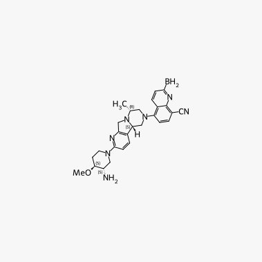 Bc1ccc2c(N3C[C@@H](C)N4Cc5nc(N6CC[C@H](OC)[C@@H](N)C6)ccc5[C@H]4C3)ccc(C#N)c2n1